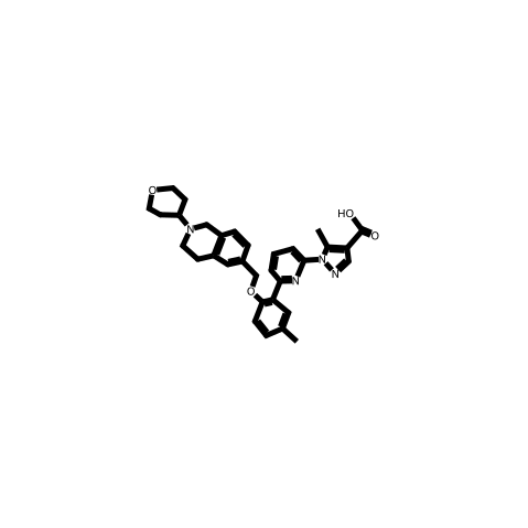 Cc1ccc(OCc2ccc3c(c2)CCN(C2CCOCC2)C3)c(-c2cccc(-n3ncc(C(=O)O)c3C)n2)c1